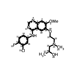 COc1cc2ncnc(Nc3ccc(F)c(Cl)c3)c2cc1OCCN(C)C[C@H](C)O